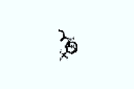 C=C(CC)NC1NC2=CC(C(F)(F)F)=C1CCC2